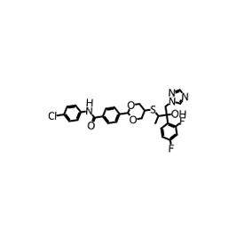 CC(SC1COC(c2ccc(C(=O)Nc3ccc(Cl)cc3)cc2)OC1)C(O)(Cn1cncn1)c1ccc(F)cc1F